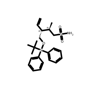 C=C[C@@H](CO[Si](c1ccccc1)(c1ccccc1)C(C)(C)C)[C@@H](C)CS(N)(=O)=O